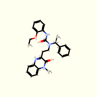 CCOc1ccccc1NC(=O)N(CCc1nc2ccccc2n(C)c1=O)[C@@H](C)c1ccccc1